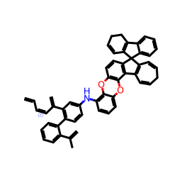 C=C/C=C\C(=C)c1cc(Nc2cccc3c2Oc2ccc4c(c2O3)C2=C(C=CCC=C2)C42C3=C(CCC=C3)c3ccccc32)ccc1-c1ccccc1C(=C)C